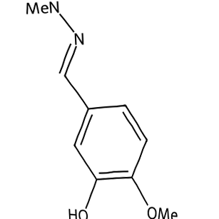 CN/N=C/c1ccc(OC)c(O)c1